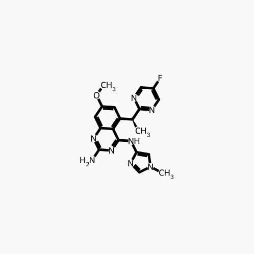 COc1cc([C@H](C)c2ncc(F)cn2)c2c(Nc3cn(C)cn3)nc(N)nc2c1